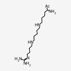 CC(=O)C(N)CCCCNCCCCCNCCCCN=C(N)N